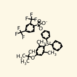 Cc1cc(OC(C)(C)C)cc(C)c1[S+](c1ccccc1)c1ccccc1.O=S(=O)([O-])c1ccc(C(F)(F)F)cc1C(F)(F)F